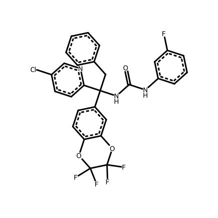 O=C(Nc1cccc(F)c1)NC(Cc1ccccc1)(c1ccc2c(c1)OC(F)(F)C(F)(F)O2)c1ccc(Cl)cn1